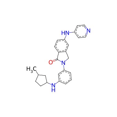 CC1CCC(Nc2cccc(N3Cc4cc(Nc5ccncc5)ccc4C3=O)c2)C1